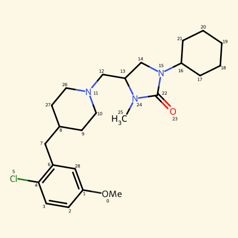 COc1ccc(Cl)c(CC2CCN(CC3CN(C4CCCCC4)C(=O)N3C)CC2)c1